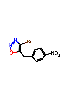 O=[N+]([O-])c1ccc(Cc2onnc2Br)cc1